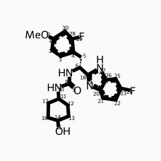 COc1ccc(C[C@@H](NC(=O)NC2CCC(O)CC2)c2nc3ccc(F)cc3[nH]2)c(F)c1